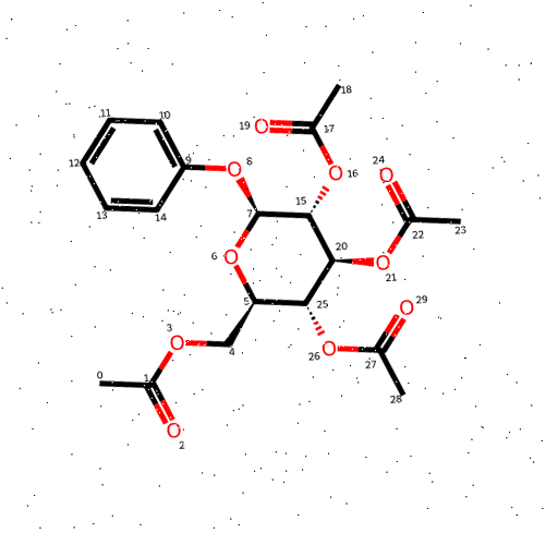 CC(=O)OC[C@H]1O[C@@H](Oc2ccccc2)[C@H](OC(C)=O)[C@@H](OC(C)=O)[C@@H]1OC(C)=O